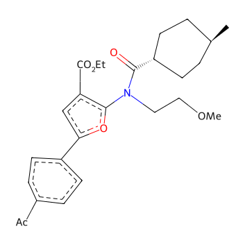 CCOC(=O)c1cc(-c2ccc(C(C)=O)cc2)oc1N(CCOC)C(=O)[C@H]1CC[C@H](C)CC1